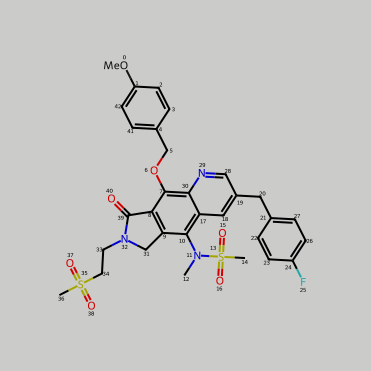 COc1ccc(COc2c3c(c(N(C)S(C)(=O)=O)c4cc(Cc5ccc(F)cc5)cnc24)CN(CCS(C)(=O)=O)C3=O)cc1